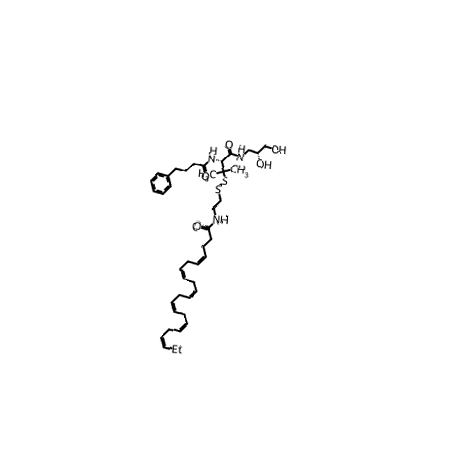 CC/C=C\C/C=C\C/C=C\C/C=C\C/C=C\C/C=C\CCC(=O)NCCSSC(C)(C)[C@H](NC(=O)CCCc1ccccc1)C(=O)NC[C@@H](O)CO